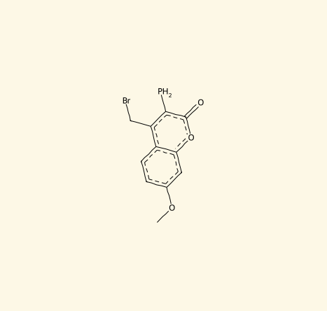 COc1ccc2c(CBr)c(P)c(=O)oc2c1